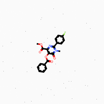 COC(=O)c1nc(-c2ccc(F)cc2)n(C)c(=O)c1OC(=O)c1ccccc1